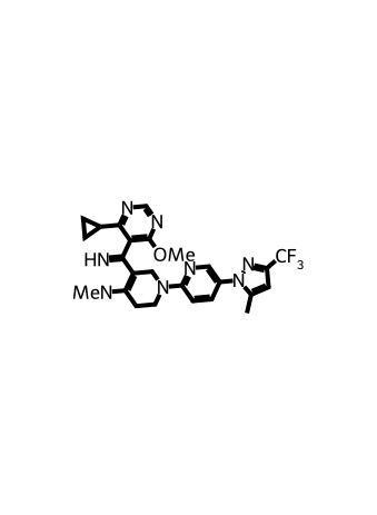 CNC1=C(C(=N)c2c(OC)ncnc2C2CC2)CN(c2ccc(-n3nc(C(F)(F)F)cc3C)cn2)CC1